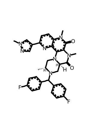 C[C@@H]1CN2c3c(c(=O)n(C)c4ccc(-c5cnn(C)c5)nc34)N(C)C(=O)[C@H]2CN1C(c1ccc(F)cc1)c1ccc(F)cc1